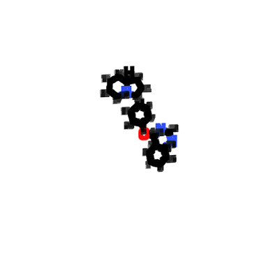 c1ccc2c(Oc3ccc([C@H]4CC[C@H]5CCCCN54)cc3)ncnc2c1